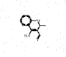 CC1Nc2ccccc2C(N)=C1C=O